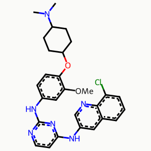 COc1cc(Nc2nccc(Nc3cnc4c(Cl)cccc4c3)n2)ccc1OC1CCC(N(C)C)CC1